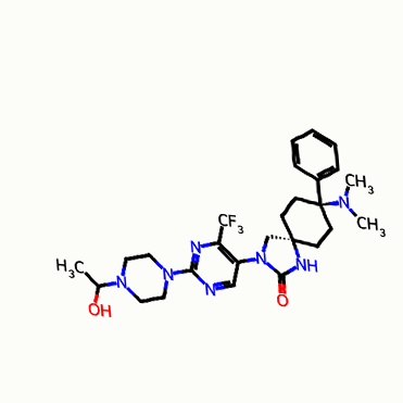 CC(O)N1CCN(c2ncc(N3C[C@]4(CC[C@](c5ccccc5)(N(C)C)CC4)NC3=O)c(C(F)(F)F)n2)CC1